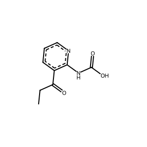 CCC(=O)c1cccnc1NC(=O)O